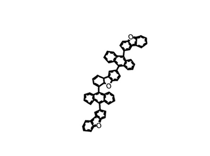 C1=CC2c3cc(-c4c5ccccc5c(-c5ccc6oc7ccccc7c6c5)c5ccccc45)ccc3OC2C(c2c3ccccc3c(-c3ccc4oc5ccccc5c4c3)c3ccccc23)=C1